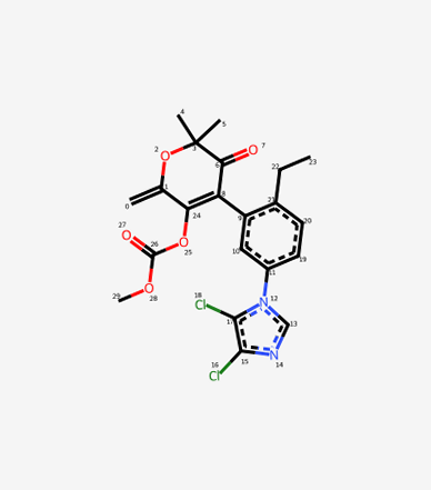 C=C1OC(C)(C)C(=O)C(c2cc(-n3cnc(Cl)c3Cl)ccc2CC)=C1OC(=O)OC